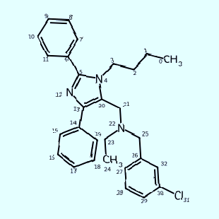 CCCCn1c(-c2ccccc2)nc(-c2ccccc2)c1CN(CC)Cc1cccc(Cl)c1